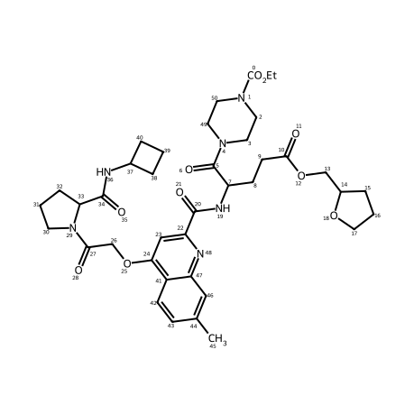 CCOC(=O)N1CCN(C(=O)C(CCC(=O)OCC2CCCO2)NC(=O)c2cc(OCC(=O)N3CCCC3C(=O)NC3CCC3)c3ccc(C)cc3n2)CC1